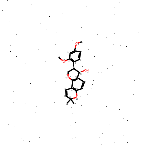 COc1ccc([C@@H]2COc3c(ccc4c3C=CC(C)(C)O4)[C@@H]2O)c(OC)c1